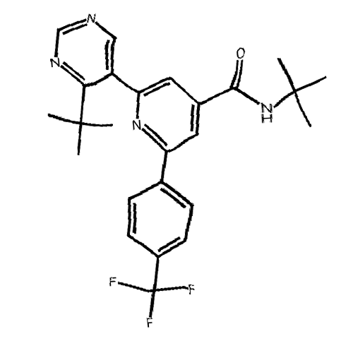 CC(C)(C)NC(=O)c1cc(-c2ccc(C(F)(F)F)cc2)nc(-c2cncnc2C(C)(C)C)c1